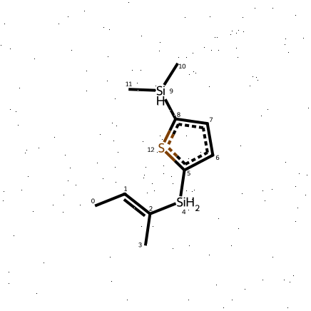 CC=C(C)[SiH2]c1ccc([SiH](C)C)s1